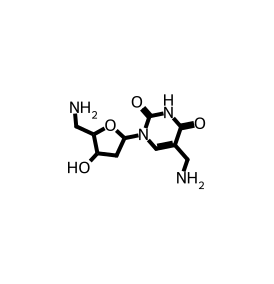 NCc1cn(C2CC(O)C(CN)O2)c(=O)[nH]c1=O